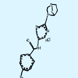 Cl.O=C(Nc1cnc(N2CCN3CCC2CC3)nc1)c1ccc(Br)cc1